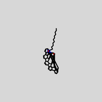 CCCCCCCCCCCCC1N(C)CC23C4=C5C=CC6C7C5=C2C2C5=C7C7C6C=CC6c8ccc9c%10c%11c(c5c(c8%10)C67)C2C2=c5c-%11c-9ccc5=C(C=C4)C213